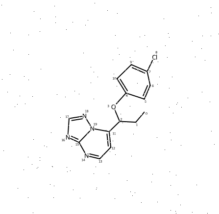 CCC(Oc1ccc(Cl)cc1)c1ccnc2ncnn12